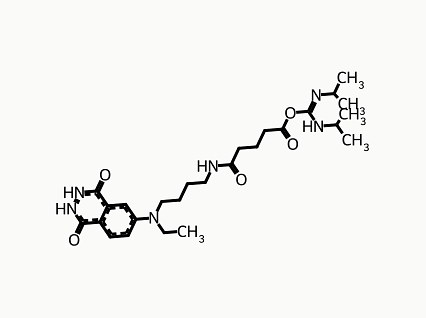 CCN(CCCCNC(=O)CCCC(=O)O/C(=N/C(C)C)NC(C)C)c1ccc2c(=O)[nH][nH]c(=O)c2c1